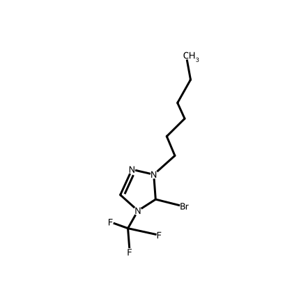 CCCCCCN1N=CN(C(F)(F)F)C1Br